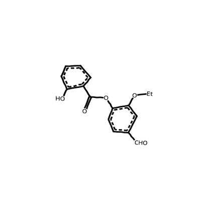 CCOc1cc(C=O)ccc1OC(=O)c1ccccc1O